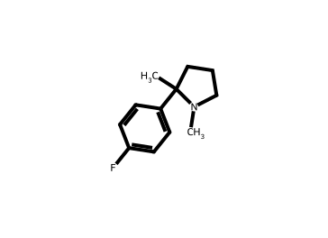 CN1CCCC1(C)c1ccc(F)cc1